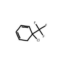 FC(F)(F)C1(Cl)[CH]C=CC=C1